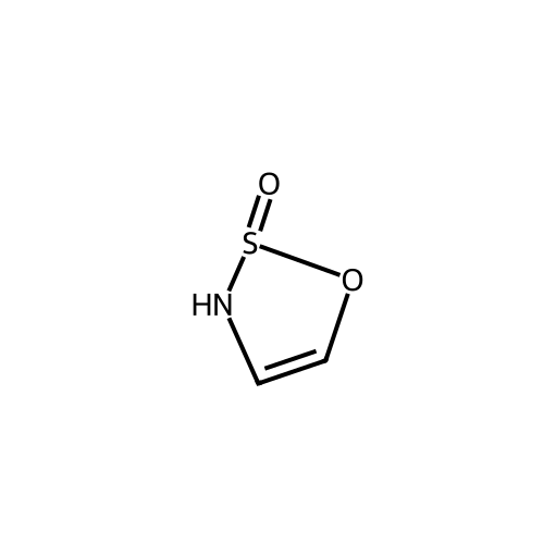 O=S1NC=CO1